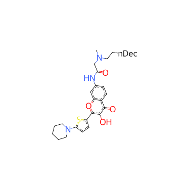 CCCCCCCCCCCCN(C)CC(=O)Nc1ccc2c(=O)c(O)c(-c3ccc(N4CCCCC4)s3)oc2c1